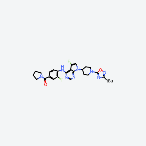 CC(C)(C)c1noc(N2CCC(n3cc(F)c4c(Nc5ccc(C(=O)N6CCCC6)cc5F)ncnc43)CC2)n1